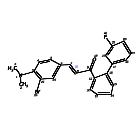 CN(C)c1ccc(/C=C/C(=O)c2ccccc2-c2cccc(F)c2)cc1Br